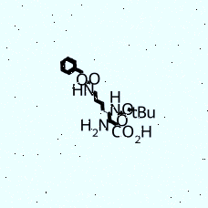 CC(C)(C)OC(=O)N[C@@H](CCCCNC(=O)OCc1ccccc1)[C@H](N)CC(=O)O